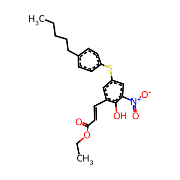 CCCCCc1ccc(Sc2cc(/C=C/C(=O)OCC)c(O)c([N+](=O)[O-])c2)cc1